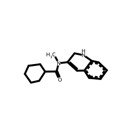 CN(C(=O)C1CCCCC1)C1=Cc2ccccc2NC1